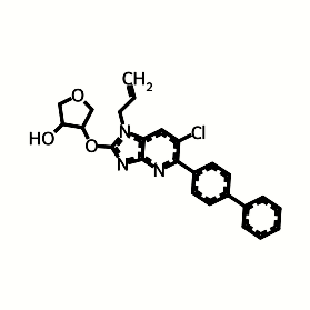 C=CCn1c(OC2COCC2O)nc2nc(-c3ccc(-c4ccccc4)cc3)c(Cl)cc21